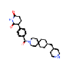 O=C1CCC(c2ccc(C(=O)N3CCC4(CCC(CC5CCNCC5)CC4)CC3)cc2)C(=O)N1